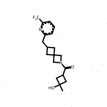 CC1(O)CC(C(=O)N2CC3(CC(Cc4cccc(C(F)(F)F)n4)C3)C2)C1